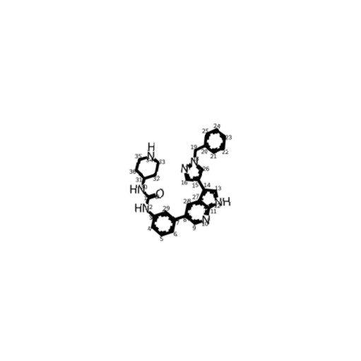 O=C(Nc1cccc(-c2cnc3[nH]cc(-c4cnn(Cc5ccccc5)c4)c3c2)c1)NC1CCNCC1